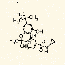 CC(C)(C)c1cc(O)c2c(c1)OC(C)(C)[C@@H]1CC=C(S(=O)(=O)NC3CC3)C[C@@H]21